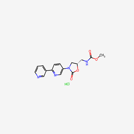 COC(=O)NC[C@H]1CN(c2ccc(-c3cccnc3)nc2)C(=O)O1.Cl